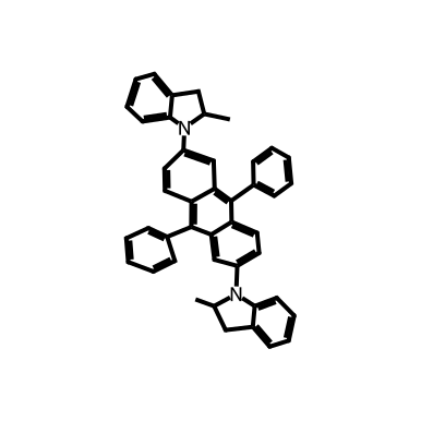 CC1Cc2ccccc2N1c1ccc2c(-c3ccccc3)c3cc(N4c5ccccc5CC4C)ccc3c(-c3ccccc3)c2c1